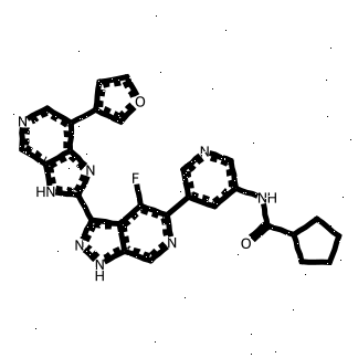 O=C(Nc1cncc(-c2ncc3[nH]nc(-c4nc5c(-c6ccoc6)cncc5[nH]4)c3c2F)c1)C1CCCC1